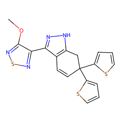 COc1nsnc1-c1n[nH]c2c1C=CC(c1cccs1)(c1cccs1)C2